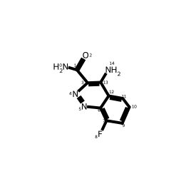 NC(=O)c1nnc2c(F)cccc2c1N